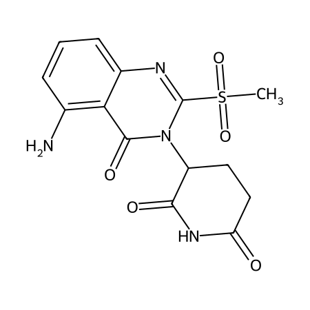 CS(=O)(=O)c1nc2cccc(N)c2c(=O)n1C1CCC(=O)NC1=O